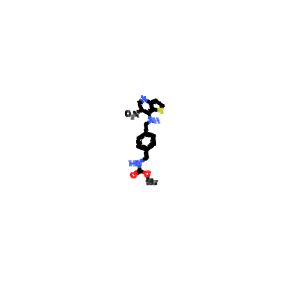 CC(C)(C)OC(=O)NCc1ccc(CNc2c([N+](=O)[O-])cnc3ccsc23)cc1